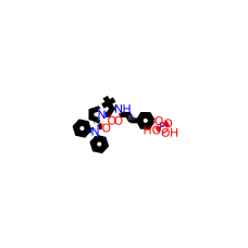 CC(C)(C)[C@H](NC(=O)/C=C/c1ccc(OP(=O)(O)O)cc1)C(=O)N1CCC[C@H]1C(=O)N(c1ccccc1)c1ccccc1